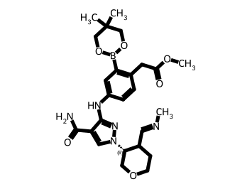 CN=CC1CCOC[C@@H]1n1cc(C(N)=O)c(Nc2ccc(CC(=O)OC)c(B3OCC(C)(C)CO3)c2)n1